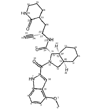 COc1cccc2[nH]c(C(=O)N3C[C@@H]4CCCC[C@@H]4[C@H]3C(=O)N[C@H](C#N)CC3CCCNC3=O)cc12